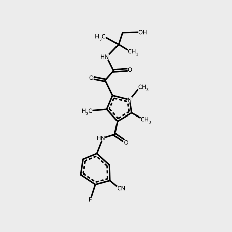 Cc1c(C(=O)Nc2ccc(F)c(C#N)c2)c(C)n(C)c1C(=O)C(=O)NC(C)(C)CO